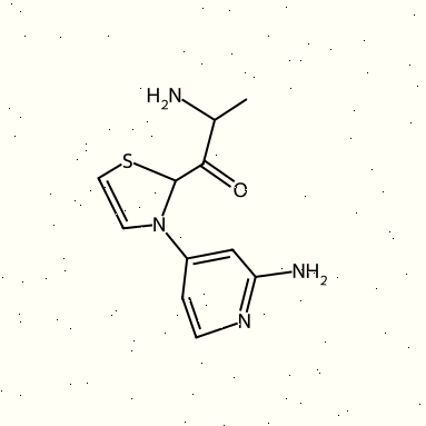 CC(N)C(=O)C1SC=CN1c1ccnc(N)c1